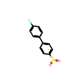 O=[SH](=O)c1c[c]c(-c2ccc(F)cc2)cc1